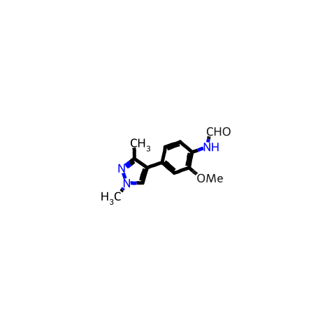 COc1cc(-c2cn(C)nc2C)ccc1NC=O